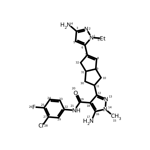 CCn1nc(N)cc1C1=CC2CC(c3nn(C)c(N)c3C(=O)Nc3ccc(F)c(Cl)c3)CC2C1